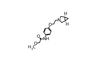 COCC(=O)Nc1ccc(OCCN2C[C@H]3C[C@H]3C2)cc1